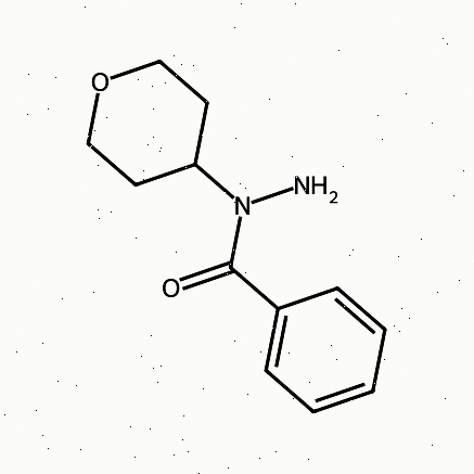 NN(C(=O)c1ccccc1)C1CCOCC1